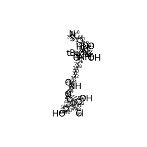 Cc1ncsc1-c1ccc(CNC(=O)[C@@H]2C[C@@H](O)CN2C(=O)C(NC(=O)CCCCCCCCCC(=O)NCCOc2ccc(C(=C(CCCl)c3ccc(O)cc3)c3ccc(O)cc3)cc2)C(C)(C)C)cc1